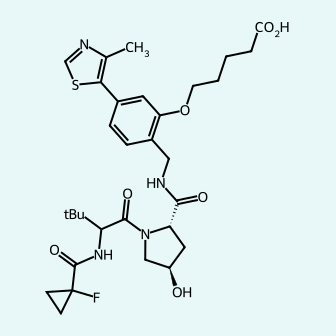 Cc1ncsc1-c1ccc(CNC(=O)[C@@H]2C[C@@H](O)CN2C(=O)C(NC(=O)C2(F)CC2)C(C)(C)C)c(OCCCCC(=O)O)c1